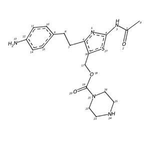 CC(=O)Nc1nc(CCc2ccc(N)cc2)c(COC(=O)N2CCNCC2)s1